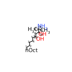 CCCCCCCCCCCCC[C@H](O)CC(O)C(C)(C)N